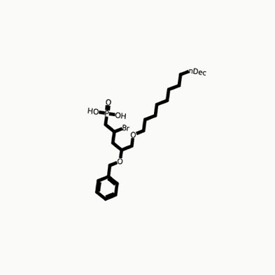 CCCCCCCCCCCCCCCCCCOCC(CC(Br)CP(=O)(O)O)OCc1ccccc1